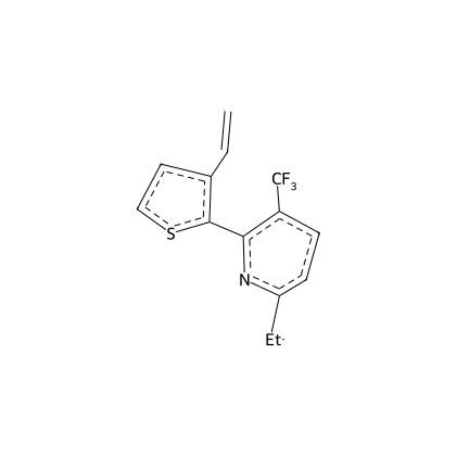 C=Cc1ccsc1-c1nc([CH]C)ccc1C(F)(F)F